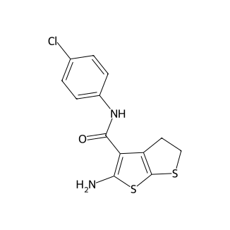 Nc1sc2c(c1C(=O)Nc1ccc(Cl)cc1)CCS2